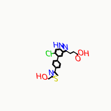 O=C(O)CCc1n[nH]c2cc(Cl)c(-c3ccc(-c4csc(CO)n4)cc3)cc12